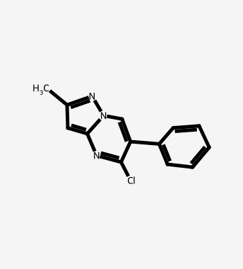 Cc1cc2nc(Cl)c(-c3ccccc3)cn2n1